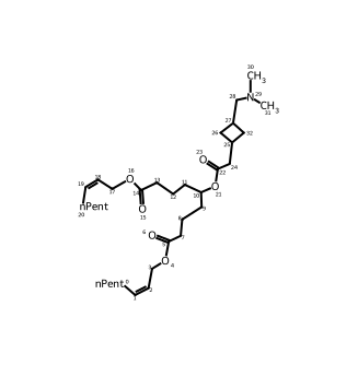 CCCCC/C=C\COC(=O)CCCC(CCCC(=O)OC/C=C\CCCCC)OC(=O)CC1CC(CN(C)C)C1